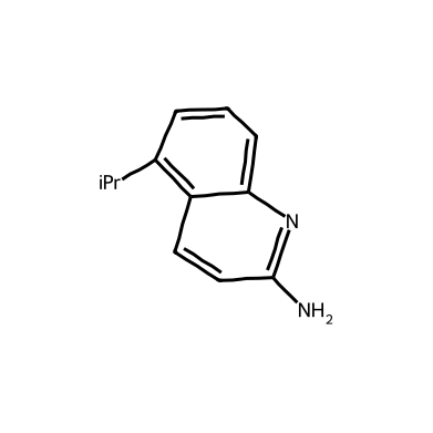 CC(C)c1cccc2nc(N)ccc12